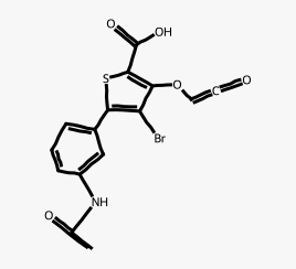 CC(=O)Nc1cccc(-c2sc(C(=O)O)c(OC=C=O)c2Br)c1